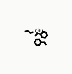 C=C(CCCC)c1ccccc1.C=CC=C.C=Cc1ccccc1